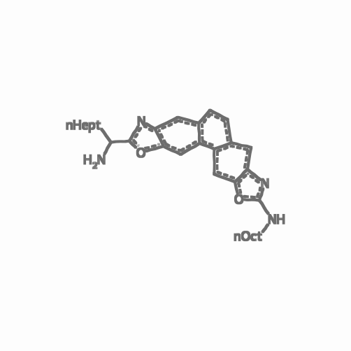 CCCCCCCCNc1nc2cc3ccc4cc5nc(C(N)CCCCCCC)oc5cc4c3cc2o1